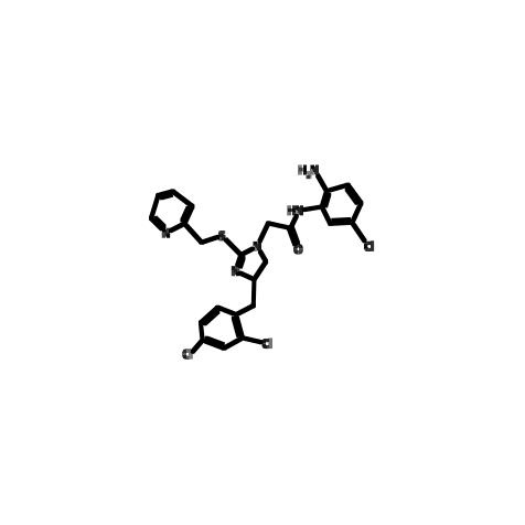 Nc1ccc(Cl)cc1NC(=O)CN1CC(Cc2ccc(Cl)cc2Cl)N=C1SCc1ccccn1